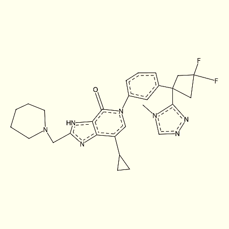 Cn1cnnc1C1(c2cccc(-n3cc(C4CC4)c4nc(CN5CCCCC5)[nH]c4c3=O)c2)CC(F)(F)C1